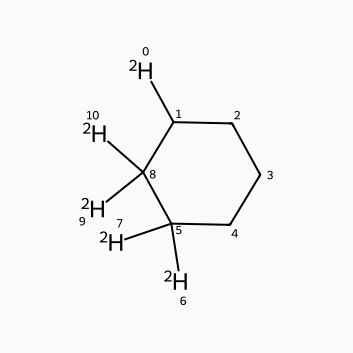 [2H]C1CCCC([2H])([2H])C1([2H])[2H]